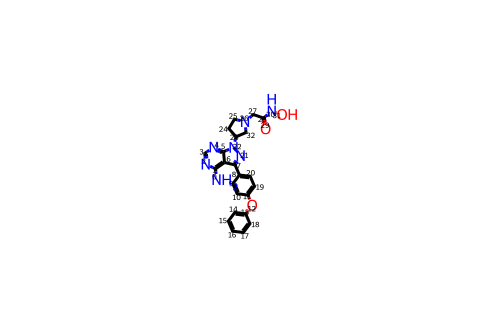 Nc1ncnc2c1c(-c1ccc(Oc3ccccc3)cc1)nn2C1CCN(CC(=O)NO)C1